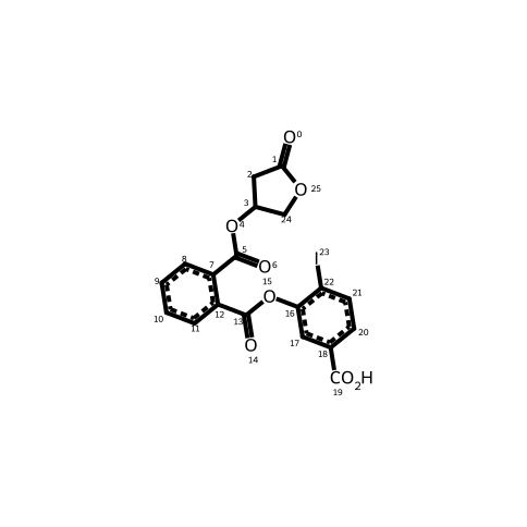 O=C1CC(OC(=O)c2ccccc2C(=O)Oc2cc(C(=O)O)ccc2I)CO1